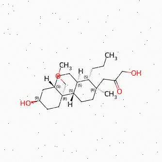 CCC[C@H]1[C@@H]2CC[C@H]3C[C@H](O)CC[C@]3(COC)[C@H]2CC[C@]1(C)CC(=O)CO